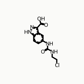 O=C(NCCCl)Nc1ccc2[nH]nc(C(=O)O)c2c1